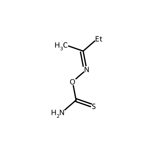 CCC(C)=NOC(N)=S